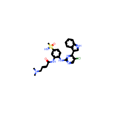 CN(C)C/C=C/C(=O)Nc1cc(S(C)(=N)=O)ccc1Nc1ncc(Cl)c(-c2c[nH]c3ccccc23)n1